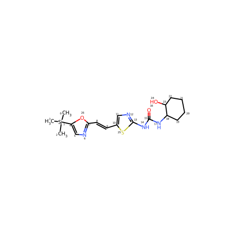 C[Si](C)(C)c1cnc(C=Cc2cnc(NC(=O)NC3CCCCC3O)s2)o1